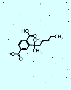 CCCCCC(C)(C)c1cc(C(=O)O)ccc1C(=O)O